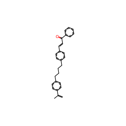 C=C(C)c1ccc(CCCCc2ccc(C=CC(=O)c3ccccc3)cc2)cc1